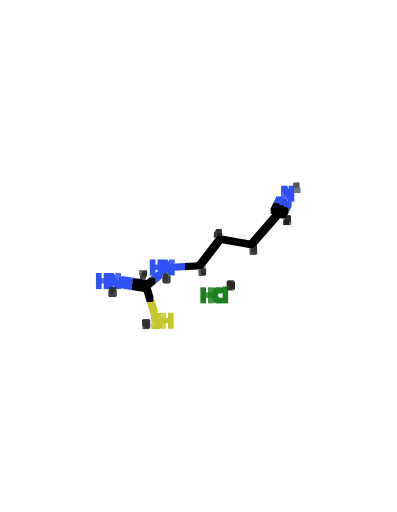 Cl.N#CCCCNC(=N)S